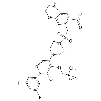 CC1(COc2c(N3CCN(S(=O)(=O)Cc4cc5c(cc4[N+](=O)[O-])NCCO5)CC3)cnn(-c3cc(F)cc(F)c3)c2=O)CC1